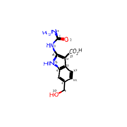 NC(=O)Nc1[nH]c2cc(CO)ccc2c1C(=O)O